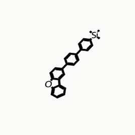 C[Si](C)(C)c1ccc(-c2ccc(-c3ccc4oc5ccccc5c4c3)cc2)cc1